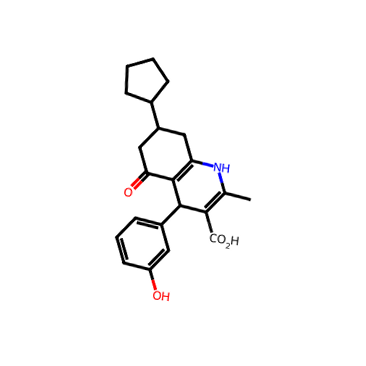 CC1=C(C(=O)O)C(c2cccc(O)c2)C2=C(CC(C3CCCC3)CC2=O)N1